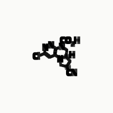 N#C[C@@H]1C[C@@H]2CN(C(=O)O)c3nnc(Cl)cc3N2C1